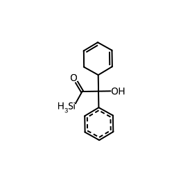 O=C([SiH3])C(O)(c1ccccc1)C1C=CC=CC1